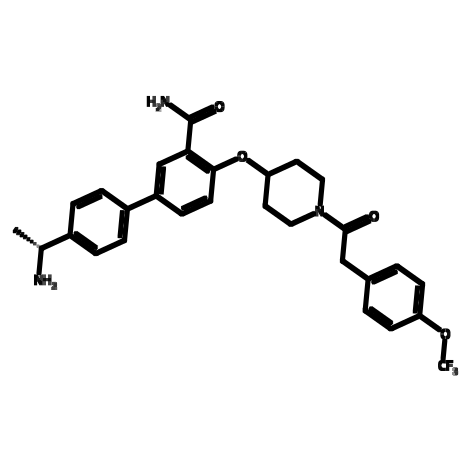 C[C@@H](N)c1ccc(-c2ccc(OC3CCN(C(=O)Cc4ccc(OC(F)(F)F)cc4)CC3)c(C(N)=O)c2)cc1